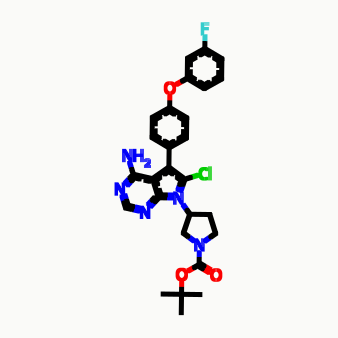 CC(C)(C)OC(=O)N1CCC(n2c(Cl)c(-c3ccc(Oc4cccc(F)c4)cc3)c3c(N)ncnc32)C1